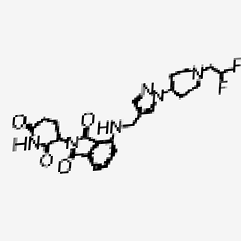 O=C1CCC(N2C(=O)c3cccc(NCc4cnn(C5CCN(CC(F)F)CC5)c4)c3C2=O)C(=O)N1